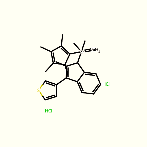 CC1=C(C)C(C)[C]([Zr]([CH3])([CH3])(=[SiH2])[CH]2C(C)=C(c3ccsc3)c3ccccc32)=C1C.Cl.Cl